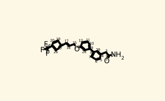 NC(=O)Cc1cccc(-c2cccc(OCC=Cc3ccc(C(F)(F)F)cc3)c2)c1